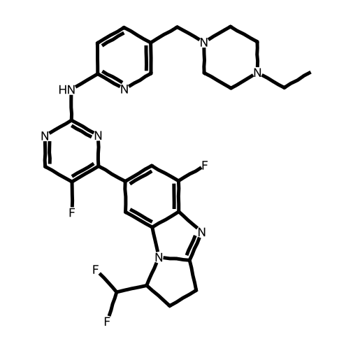 CCN1CCN(Cc2ccc(Nc3ncc(F)c(-c4cc(F)c5nc6n(c5c4)C(C(F)F)CC6)n3)nc2)CC1